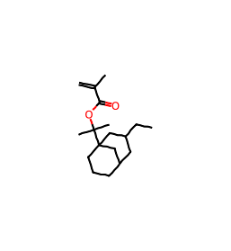 C=C(C)C(=O)OC(C)(C)C12CCCC(CC(CC)C1)C2